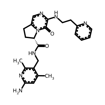 Cc1cc(N)nc(C)c1CNC(=O)[C@@H]1CCc2cnc(NCCc3ccccn3)c(=O)n21